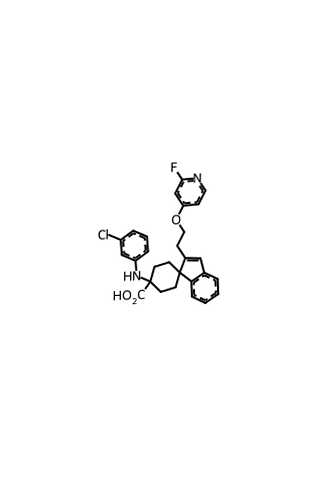 O=C(O)C1(Nc2cccc(Cl)c2)CCC2(CC1)C(CCOc1ccnc(F)c1)=Cc1ccccc12